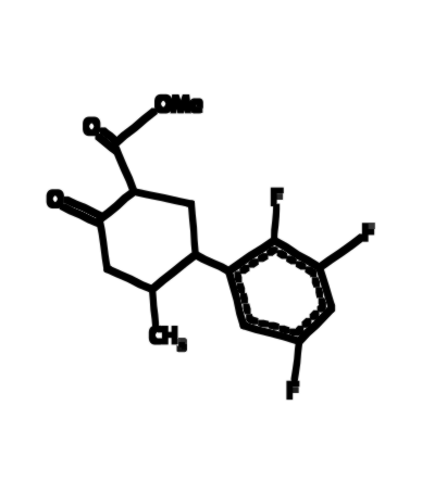 COC(=O)C1CC(c2cc(F)cc(F)c2F)C(C)CC1=O